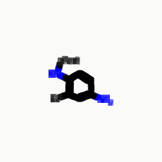 CCCCCNc1ccc(N)cc1CC